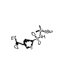 CCC(=O)c1csc(S(=O)(=O)N[Si](C)(C)C(C)(C)C)c1